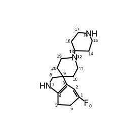 FC1=CC2=C(CC1)NCC21CCN(C2CCNCC2)CC1